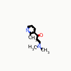 Cc1ncccc1C(=O)C=CN(C)C